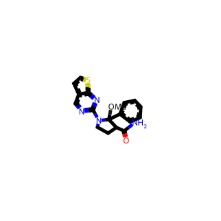 COC1(c2ccccc2)C(C(N)=O)CCN1c1ncc2ccsc2n1